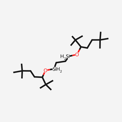 CC(C)(C)CCC(O[SiH2]CC[SiH2]OC(CCC(C)(C)C)C(C)(C)C)C(C)(C)C